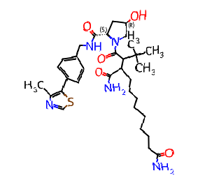 Cc1ncsc1-c1ccc(CNC(=O)[C@@H]2C[C@@H](O)CN2C(=O)C(C(CCCCCCCCC(N)=O)C(N)=O)C(C)(C)C)cc1